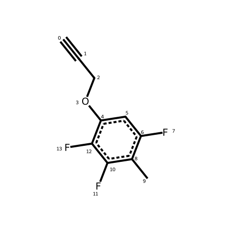 C#CCOc1cc(F)c(C)c(F)c1F